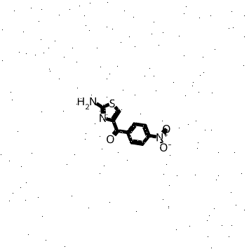 Nc1nc(C(=O)c2ccc([N+](=O)[O-])cc2)cs1